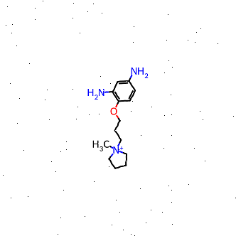 C[N+]1(CCCOc2ccc(N)cc2N)CCCC1